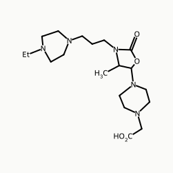 CCN1CCN(CCCN2C(=O)OC(N3CCN(CC(=O)O)CC3)C2C)CC1